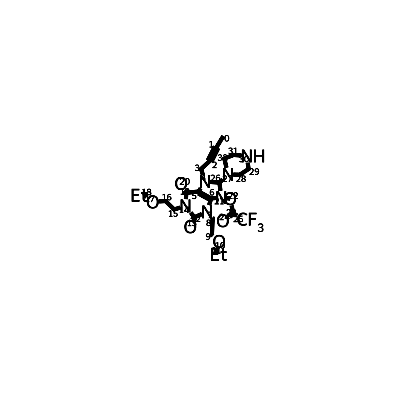 CC#CCN1c2c(n(CCOCC)c(=O)n(CCOCC)c2=O)N(OC(=O)C(F)(F)F)C1N1CCNCC1